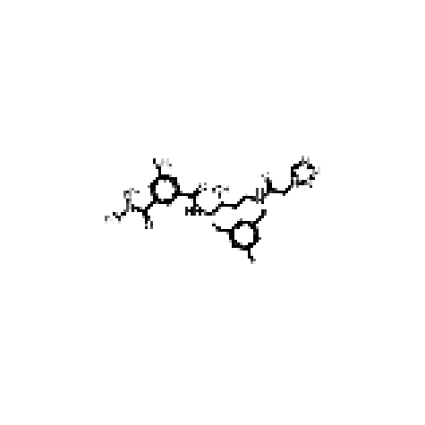 CCCN(CCC)C(=O)c1cc(C)cc(C(=O)N[C@@H](Cc2cc(F)cc(F)c2)[C@H](O)CCNC(=O)Cn2cnnn2)c1